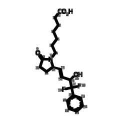 O=C(O)CCCCCCN1C(=O)CC[C@@H]1C=C[C@@H](O)C(F)(F)c1ccccc1